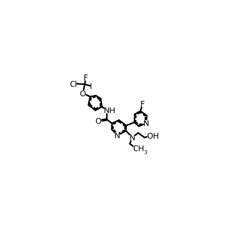 CCN(CCO)c1ncc(C(=O)Nc2ccc(OC(F)(Cl)I)cc2)cc1-c1cncc(F)c1